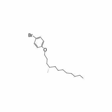 CCCCCCCC[C@H](C)CCCOc1ccc(Br)cc1